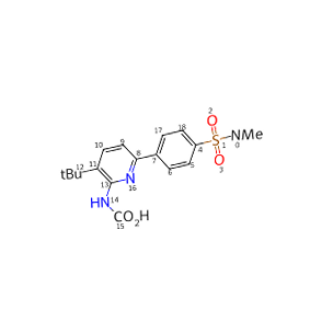 CNS(=O)(=O)c1ccc(-c2ccc(C(C)(C)C)c(NC(=O)O)n2)cc1